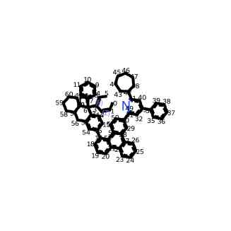 C/C=C\C(=C/C)C1(c2ccccc2)c2ccc(-c3cccc4c5ccccc5c5cc(-c6cc(-c7ccccc7)cc(C7CCCCCC7)n6)ccc5c34)cc2CC2CCCC[C@H]21